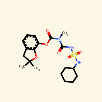 CN(C(=O)NS(=O)(=O)NC1CCCCC1)C(=O)Oc1cccc2c1OC(C)(C)C2